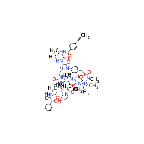 CC#Cc1ccc(C(=O)N[C@H](C(=O)N[C@@H](CCCNC(N)=O)C(=O)Nc2ccc(COC(=O)N(C)[C@H](C(=O)N[C@H](C(=O)N(C)[C@@H]([C@@H](C)CC)[C@@H](CC(=O)N3CCC[C@H]3[C@H](OC)[C@@H](C)C(=O)N[C@H](C)[C@@H](O)c3ccccc3)OC)C(C)C)C(C)C)cc2)C(C)C)cc1